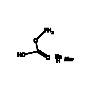 O=C(O)OP.[Mn].[NaH]